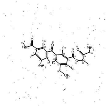 CNC(=O)c1c(I)c(N)c(I)c(C(=O)c2c(I)c(CO)c(I)c(C(=O)ON(C)C(=O)CN)c2I)c1I